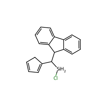 Cl[SiH2]C(C1=CC=CC1)C1c2ccccc2-c2ccccc21